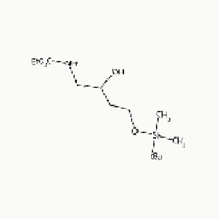 CCOC(=O)NCC(O)CCO[Si](C)(C)C(C)(C)C